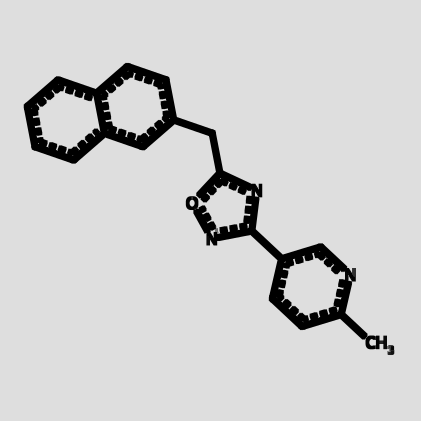 Cc1ccc(-c2noc(Cc3ccc4ccccc4c3)n2)cn1